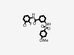 COc1ccc(S(=O)(=O)Nc2cccc(C(=O)Nc3cccc(Cl)c3F)c2)cc1